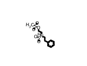 CS(=O)(=O)OCCN(CCc1ccccc1)[SH](=O)=O